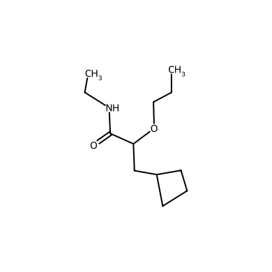 CCCOC(CC1CCC1)C(=O)NCC